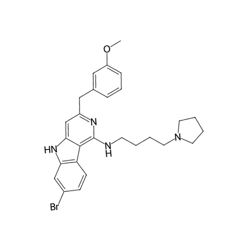 COc1cccc(Cc2cc3[nH]c4cc(Br)ccc4c3c(NCCCCN3CCCC3)n2)c1